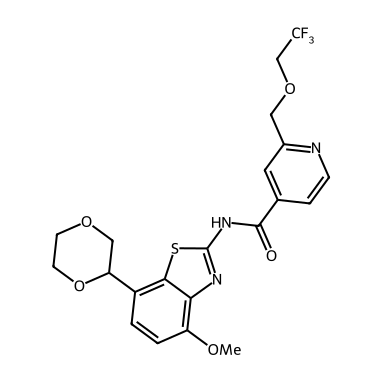 COc1ccc(C2COCCO2)c2sc(NC(=O)c3ccnc(COCC(F)(F)F)c3)nc12